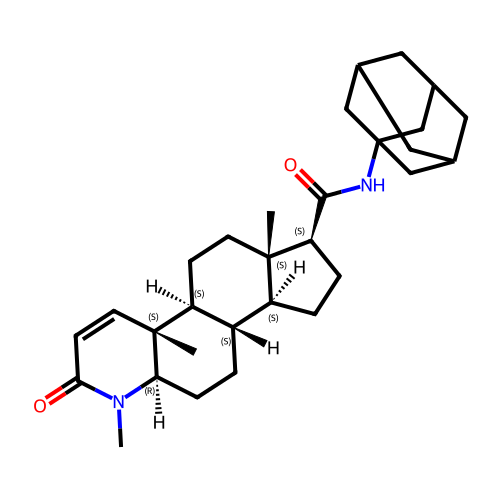 CN1C(=O)C=C[C@]2(C)[C@H]3CC[C@]4(C)[C@@H](C(=O)NC56CC7CC(CC(C7)C5)C6)CC[C@H]4[C@@H]3CC[C@@H]12